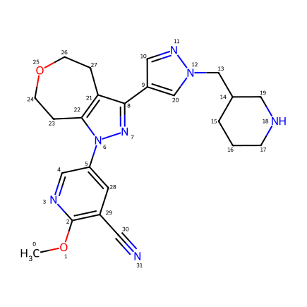 COc1ncc(-n2nc(-c3cnn(CC4CCCNC4)c3)c3c2CCOCC3)cc1C#N